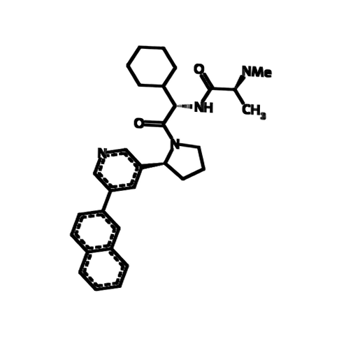 CN[C@@H](C)C(=O)N[C@H](C(=O)N1CCC[C@H]1c1cncc(-c2ccc3ccccc3c2)c1)C1CCCCC1